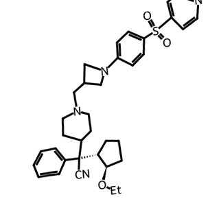 CCO[C@@H]1CCC[C@H]1C(C#N)(c1ccccc1)C1CCN(CC2CN(c3ccc(S(=O)(=O)c4ccncc4)cc3)C2)CC1